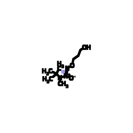 CN(/[N+]([O-])=N/OCCCO)C(C)(C)C